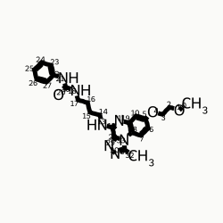 COCCOc1ccc2c(c1)nc(NCCCCNC(=O)Nc1ccccc1)c1nnc(C)n12